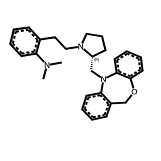 CN(C)c1ccccc1CCN1CCC[C@@H]1CN1c2ccccc2COc2ccccc21